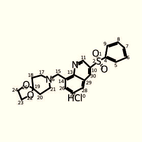 Cl.O=S(=O)(c1ccccc1)c1cnc2c(CN3CCC4(CC3)OCCO4)cccc2c1